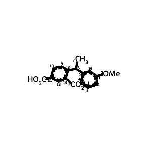 COc1cccc(C(C)c2ccc(C(=O)O)cc2C(=O)O)c1